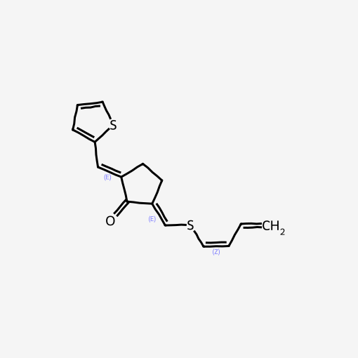 C=C/C=C\S/C=C1\CC/C(=C\c2cccs2)C1=O